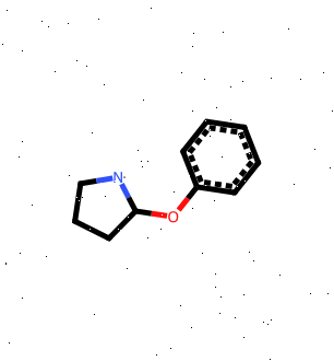 c1ccc(OC2CCC[N]2)cc1